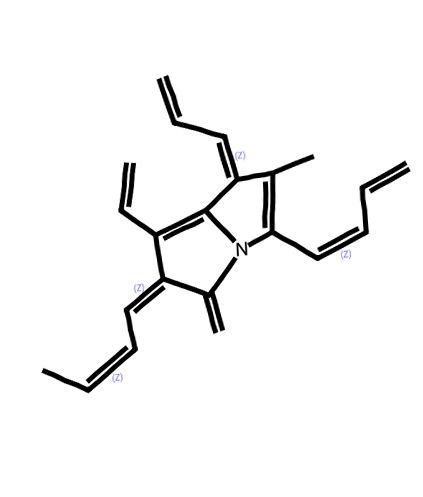 C=C/C=C\c1c(C)/c(=C/C=C)c2c(C=C)/c(=C/C=C\C)c(=C)n12